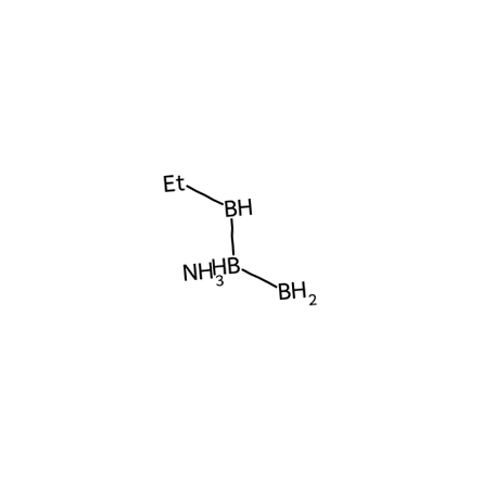 BBBCC.N